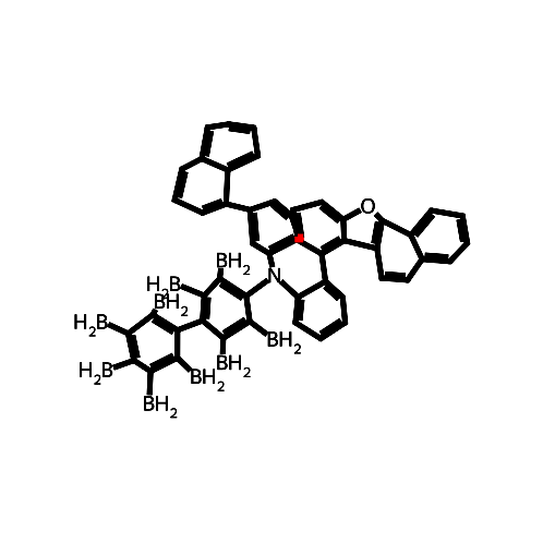 Bc1c(B)c(B)c(-c2c(B)c(B)c(N(c3cccc(-c4cccc5ccccc45)c3)c3ccccc3-c3cccc4oc5c6ccccc6ccc5c34)c(B)c2B)c(B)c1B